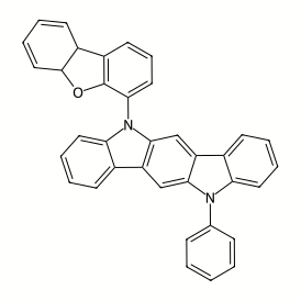 C1=CC2Oc3c(cccc3-n3c4ccccc4c4cc5c(cc43)c3ccccc3n5-c3ccccc3)C2C=C1